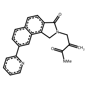 C=C(CN1Cc2c(ccc3ccc(-c4ccccn4)cc23)C1=O)C(=O)NC